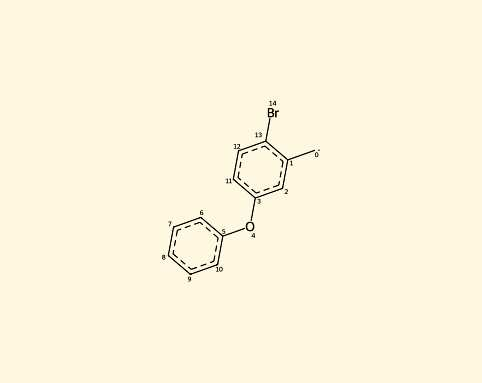 [CH2]c1cc(Oc2ccccc2)ccc1Br